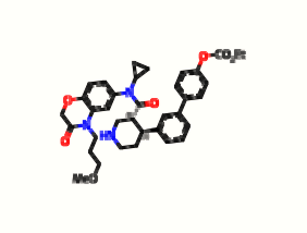 CCOC(=O)Oc1ccc(-c2cccc([C@H]3CCNC[C@@H]3C(=O)N(c3ccc4c(c3)N(CCCOC)C(=O)CO4)C3CC3)c2)cc1